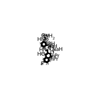 CCCC1(CCC)C(=O)C(C2=NS(O)(O)c3cc(NS(N)(=O)=O)ccc3N2)=C(O)c2cc(F)ccc21.[NaH]